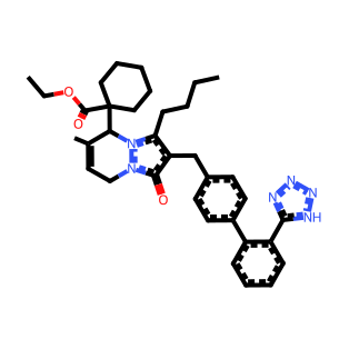 CCCCc1c(Cc2ccc(-c3ccccc3-c3nnn[nH]3)cc2)c(=O)n2n1C(C1(C(=O)OCC)CCCCC1)C(C)=CC2